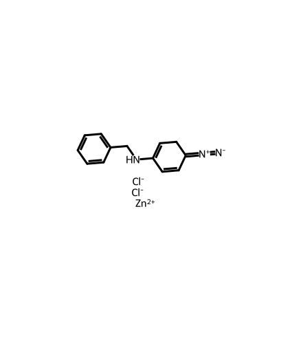 [Cl-].[Cl-].[N-]=[N+]=C1C=CC(NCc2ccccc2)=CC1.[Zn+2]